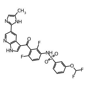 Cc1cnc(-c2cnc3[nH]cc(C(=O)c4c(F)ccc(NS(=O)(=O)c5cccc(OC(F)F)c5)c4F)c3c2)[nH]1